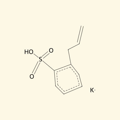 C=CCc1ccccc1S(=O)(=O)O.[K]